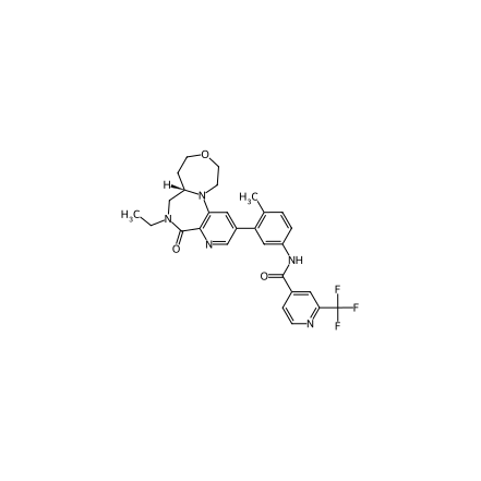 CCN1C[C@@H]2CCOCCN2c2cc(-c3cc(NC(=O)c4ccnc(C(F)(F)F)c4)ccc3C)cnc2C1=O